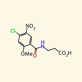 COc1cc(Cl)c([N+](=O)[O-])cc1C(=O)NCCC(=O)O